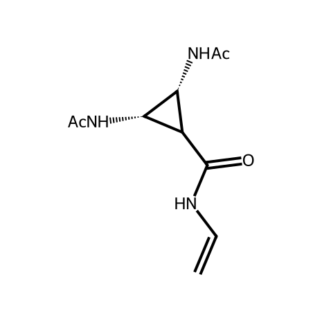 C=CNC(=O)C1[C@@H](NC(C)=O)[C@H]1NC(C)=O